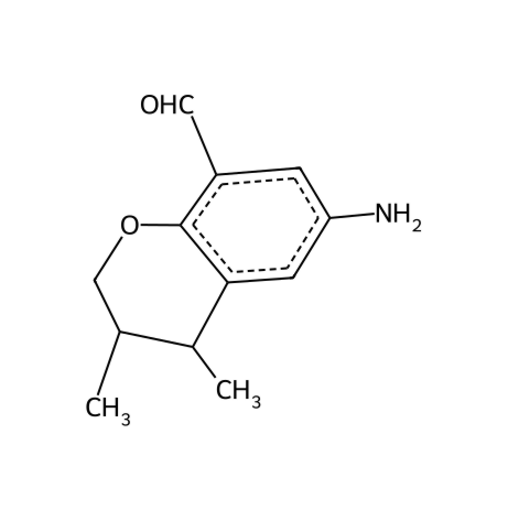 CC1COc2c(C=O)cc(N)cc2C1C